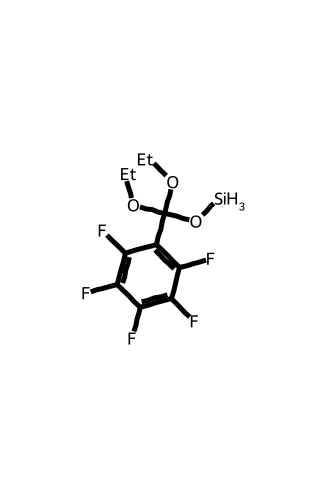 CCOC(O[SiH3])(OCC)c1c(F)c(F)c(F)c(F)c1F